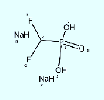 O=P(O)(O)C(F)F.[NaH].[NaH]